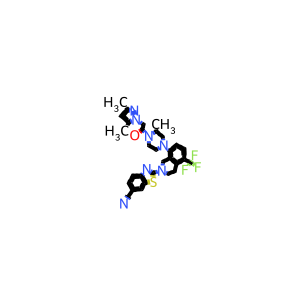 Cc1cc(C)n(CC(=O)N2CCN(c3ccc(C(F)(F)F)c4c3CN(c3nc5ccc(C#N)cc5s3)CC4)CC2C)n1